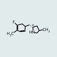 CC1=C(F)CC(C[C@@H]2CC(C)CN2)C=C1